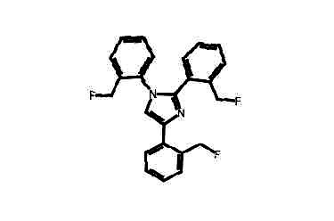 FCc1ccccc1-c1cn(-c2ccccc2CF)c(-c2ccccc2CF)n1